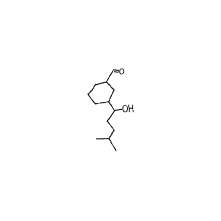 CC(C)CCC(O)C1CCCC(C=O)C1